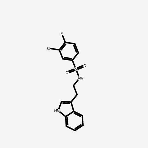 O=S(=O)(NCCc1c[nH]c2ccccc12)c1ccc(F)c(Cl)c1